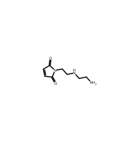 NCCNCCN1C(=O)C=CC1=O